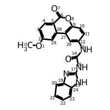 COc1ccc2c(=O)oc3ccc(NC(=O)Nc4nc5ccccc5[nH]4)cc3c2c1